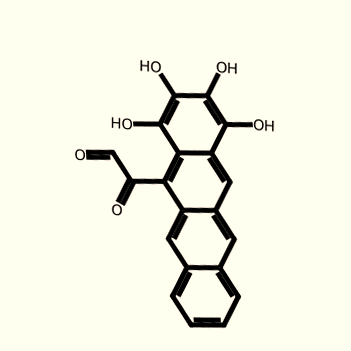 O=CC(=O)c1c2cc3ccccc3cc2cc2c(O)c(O)c(O)c(O)c12